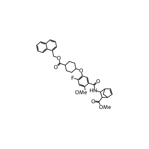 COC(=O)C1C2C=CC(C2)C1NC(=O)c1cc(OC2CCC(C(=O)OCc3cccc4ccccc34)CC2)c(F)cc1OC